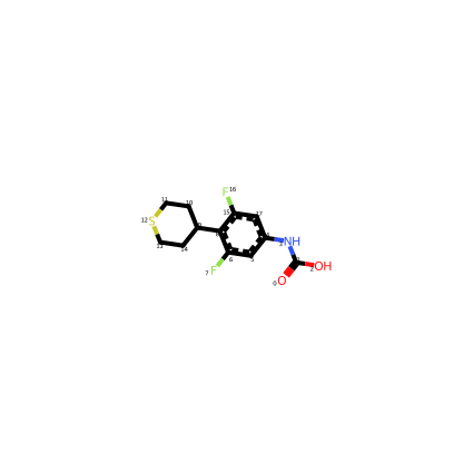 O=C(O)Nc1cc(F)c(C2CCSCC2)c(F)c1